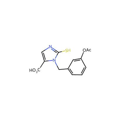 CC(=O)Oc1cccc(Cn2c(C(=O)O)cnc2S)c1